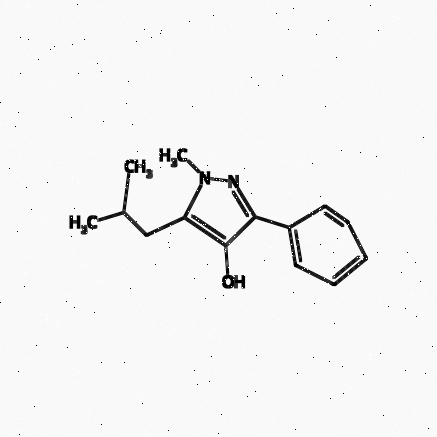 CC(C)Cc1c(O)c(-c2ccccc2)nn1C